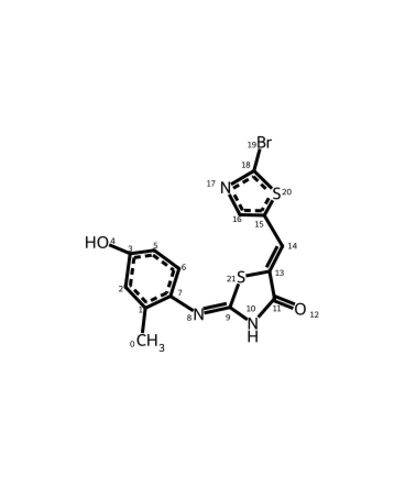 Cc1cc(O)ccc1/N=C1/NC(=O)/C(=C/c2cnc(Br)s2)S1